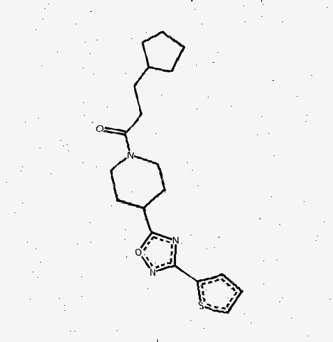 O=C(CCC1CCCC1)N1CCC(c2nc(-c3cccs3)no2)CC1